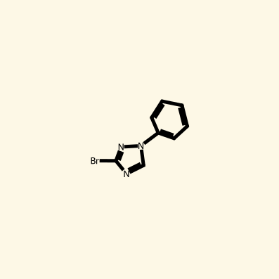 Brc1ncn(-c2ccccc2)n1